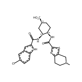 CN1CCc2nc(C(=O)N[C@@H]3CC[C@H](C(=O)O)C[C@@H]3NC(=O)c3cc4cc(Cl)ccc4[nH]3)sc2C1